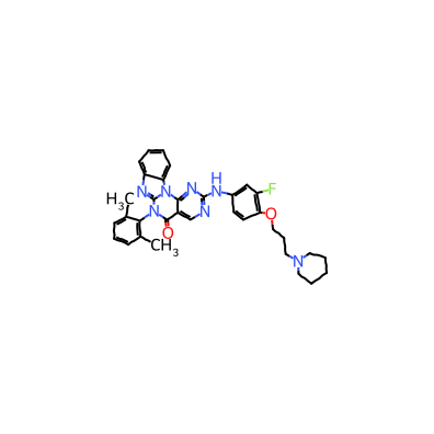 Cc1cccc(C)c1-n1c(=O)c2cnc(Nc3ccc(OCCCN4CCCCC4)c(F)c3)nc2n2c3ccccc3nc12